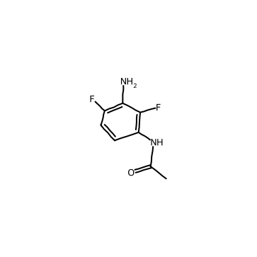 CC(=O)Nc1ccc(F)c(N)c1F